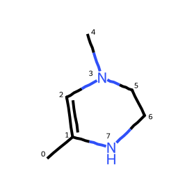 CC1=CN(C)CCN1